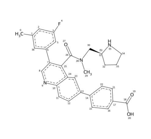 Cc1cc(F)cc(-c2cnc3ccc(-c4ccc(C(=O)O)cc4)cc3c2C(=O)N(C)C[C@@H]2CCCN2)c1